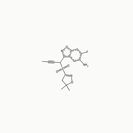 CC#CC(c1noc2cc(F)c(N)cc12)S(=O)(=O)C1=NOC(C)(C)C1